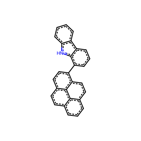 c1cc2ccc3ccc(-c4cccc5c4[nH]c4ccccc45)c4ccc(c1)c2c34